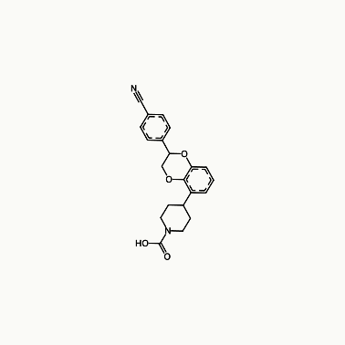 N#Cc1ccc(C2COc3c(cccc3C3CCN(C(=O)O)CC3)O2)cc1